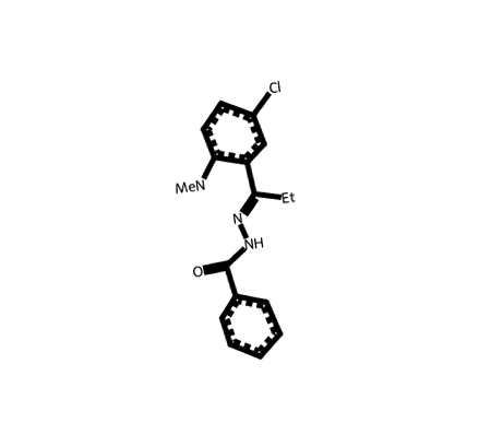 CC/C(=N\NC(=O)c1ccccc1)c1cc(Cl)ccc1NC